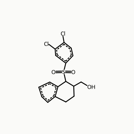 O=S(=O)(c1ccc(Cl)c(Cl)c1)C1c2ccccc2CCC1CO